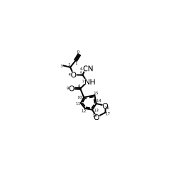 C#CC(C)OC(C#N)NC(=O)c1ccc2c(c1)OCO2